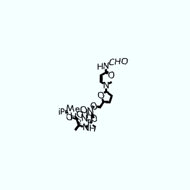 CON(OCC1CCC(N(C)/C=C\C(=O)NC=O)O1)O[PH](C)(N)NC(C)C(=O)OC(C)C